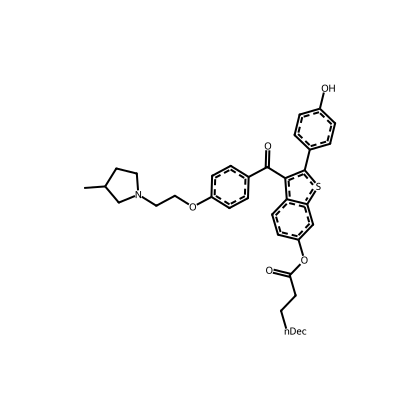 CCCCCCCCCCCCC(=O)Oc1ccc2c(C(=O)c3ccc(OCCN4CCC(C)C4)cc3)c(-c3ccc(O)cc3)sc2c1